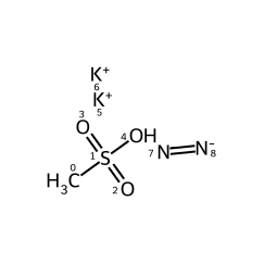 CS(=O)(=O)O.[K+].[K+].[N-]=[N-]